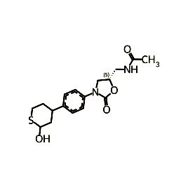 CC(=O)NC[C@H]1CN(c2ccc(C3CCSC(O)C3)cc2)C(=O)O1